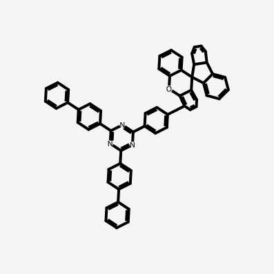 C1=CC2c3ccccc3C3(c4ccccc4Oc4c(-c5ccc(-c6nc(-c7ccc(-c8ccccc8)cc7)nc(-c7ccc(-c8ccccc8)cc7)n6)cc5)cccc43)C2C=C1